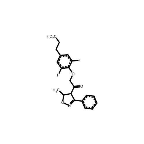 CC1ON=C(c2ccccc2)C1C(=O)COc1c(F)cc(CCC(=O)O)cc1F